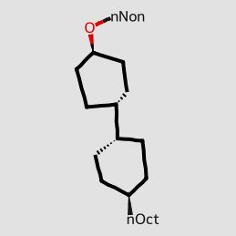 CCCCCCCCCO[C@H]1CC[C@H]([C@H]2CC[C@H](CCCCCCCC)CC2)CC1